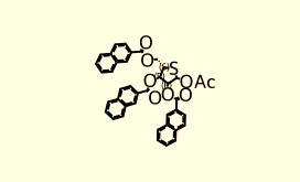 CC(=O)OC1S[C@@H](COC(=O)c2ccc3ccccc3c2)[C@H](OC(=O)c2ccc3ccccc3c2)[C@H]1OC(=O)c1ccc2ccccc2c1